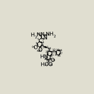 COc1cc(Cc2cnc(N)nc2N)cc(C#CCc2cc3[nH]cc(C(=O)O)c(=O)c3cc2Cc2ccccc2)c1OC